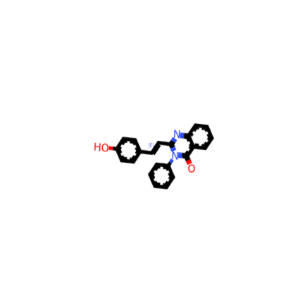 O=c1c2ccccc2nc(/C=C/c2ccc(O)cc2)n1-c1ccccc1